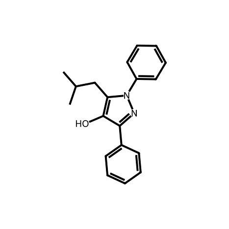 CC(C)Cc1c(O)c(-c2ccccc2)nn1-c1ccccc1